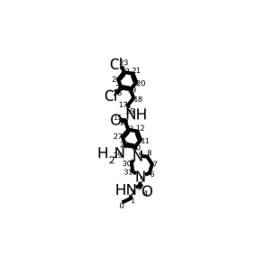 CCNC(=O)N1CCCN(c2ccc(C(=O)NCCc3ccc(Cl)cc3Cl)cc2N)CC1